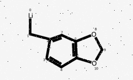 [Li][CH2]c1ccc2c(c1)OCO2